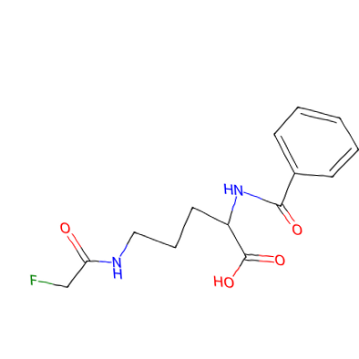 O=C(CF)NCCCC(NC(=O)c1ccccc1)C(=O)O